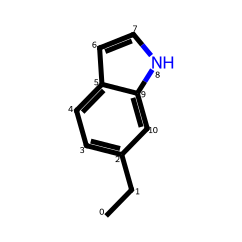 CCc1ccc2[c]c[nH]c2c1